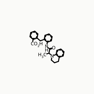 CC(C(=O)Nc1ccccc1Cc1ccccc1C(=O)O)N1CCCc2ccccc21